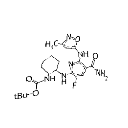 Cc1cc(Nc2nc(N[C@@H]3CCCC[C@@H]3NC(=O)OC(C)(C)C)c(F)cc2C(N)=O)on1